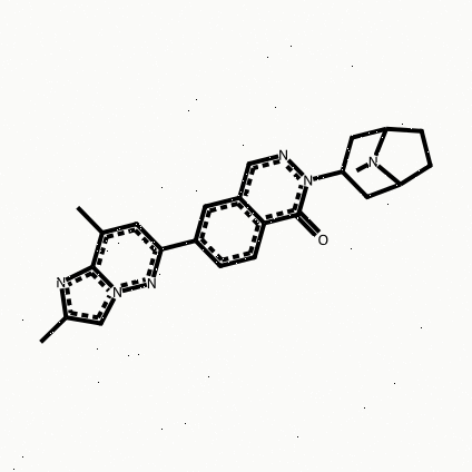 Cc1cn2nc(-c3ccc4c(=O)n(C5CC6CCC(C5)N6C)ncc4c3)cc(C)c2n1